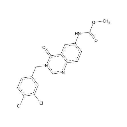 COC(=O)Nc1ccc2ncn(Cc3ccc(Cl)c(Cl)c3)c(=O)c2c1